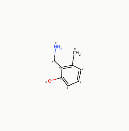 [CH2]c1cccc([O])c1CN